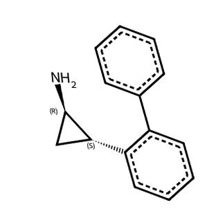 N[C@@H]1C[C@H]1c1ccccc1-c1ccccc1